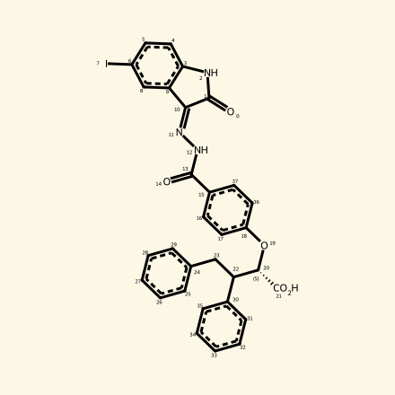 O=C1Nc2ccc(I)cc2C1=NNC(=O)c1ccc(O[C@H](C(=O)O)C(Cc2ccccc2)c2ccccc2)cc1